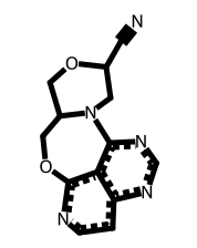 N#CC1CN2c3ncnc4ccnc(c34)OCC2CO1